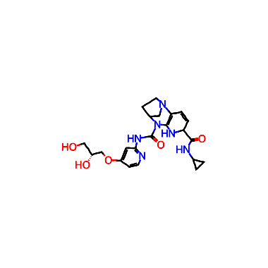 O=C(NC1CC1)C1C=CC2=C(N1)N(C(=O)Nc1cc(OC[C@H](O)CO)ccn1)C1CCN2C1